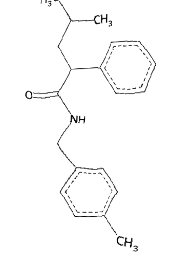 Cc1ccc(CNC(=O)C(CC(C)C)c2ccccc2)cc1